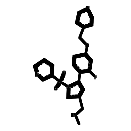 CNCc1cc(-c2ccc(OCc3ccncc3)cc2F)n(S(=O)(=O)c2cccnc2)c1